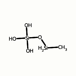 C[SiH2]O[Si](O)(O)O